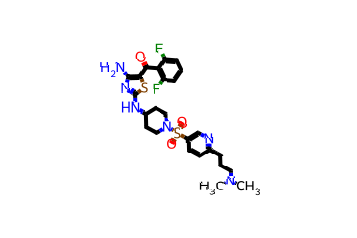 CN(C)CCCc1ccc(S(=O)(=O)N2CCC(Nc3nc(N)c(C(=O)c4c(F)cccc4F)s3)CC2)cn1